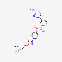 CN(C)CCOC(=O)Nc1ccc(C(=O)N(N)c2cccc(-c3cnc(N)nc3)c2)cc1